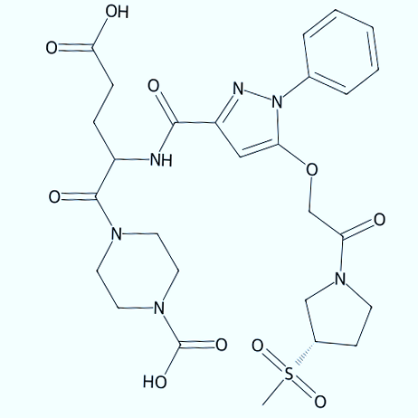 CS(=O)(=O)[C@H]1CCN(C(=O)COc2cc(C(=O)NC(CCC(=O)O)C(=O)N3CCN(C(=O)O)CC3)nn2-c2ccccc2)C1